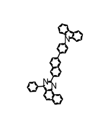 c1ccc(-c2nc(-c3ccc4cc(-c5ccc(-n6c7ccccc7c7ccccc76)cc5)ccc4c3)nc3c2ccc2ccccc23)cc1